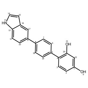 Oc1ccc(-c2ccc(-c3ccc4[nH]ccc4c3)cc2)c(O)c1